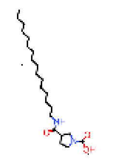 CCCCCCCCCCCCCCCCNC(=O)C1CCN(C(=O)O)C1